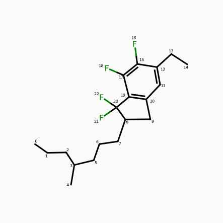 CCCC(C)CCCC1Cc2cc(CC)c(F)c(F)c2C1(F)F